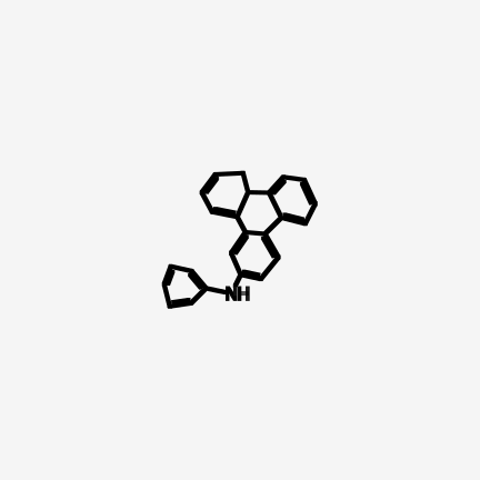 C1=CCC2C(=C1)c1cc(Nc3ccccc3)ccc1-c1ccccc12